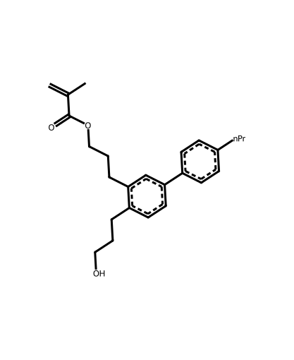 C=C(C)C(=O)OCCCc1cc(-c2ccc(CCC)cc2)ccc1CCCO